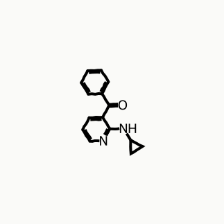 O=C(c1ccccc1)c1cccnc1NC1CC1